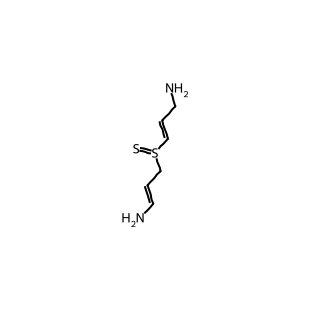 NC=CCS(=S)C=CCN